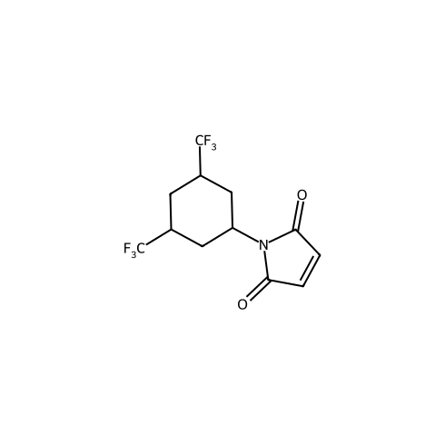 O=C1C=CC(=O)N1C1CC(C(F)(F)F)CC(C(F)(F)F)C1